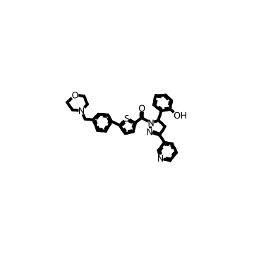 O=C(c1ccc(-c2ccc(CN3CCOCC3)cc2)s1)N1N=C(c2cccnc2)CC1c1ccccc1O